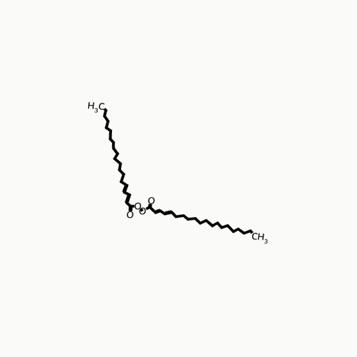 CCCCCCCCCCCCCCCC=CC=CC(=O)OOC(=O)C=CC=CCCCCCCCCCCCCCCC